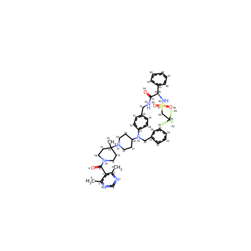 Cc1ncnc(C)c1C(=O)N1CCC(C)(N2CCC(N(Cc3ccccc3)c3ccc(CNC(=O)[C@H](NS(=O)(=O)CC(F)(F)F)c4ccccc4)cc3)CC2)CC1